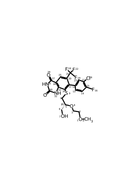 COCCO[C@H](CO)CSc1c(-c2ccc(F)c(Cl)c2)c(C(F)(F)F)cc2c(=O)[nH]c(=O)[nH]c12